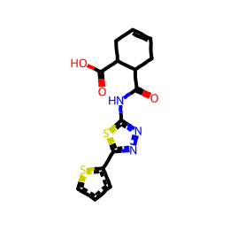 O=C(O)C1CC=CCC1C(=O)Nc1nnc(-c2cccs2)s1